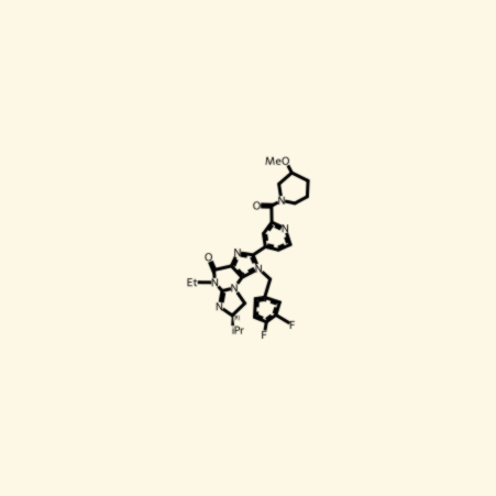 CCN1C(=O)c2nc(-c3ccnc(C(=O)N4CCCC(OC)C4)c3)n(Cc3ccc(F)c(F)c3)c2N2C[C@@H](C(C)C)N=C12